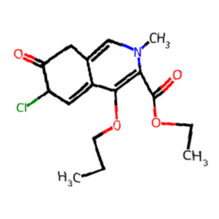 CCCOC1=C(C(=O)OCC)N(C)C=C2CC(=O)C(Cl)C=C21